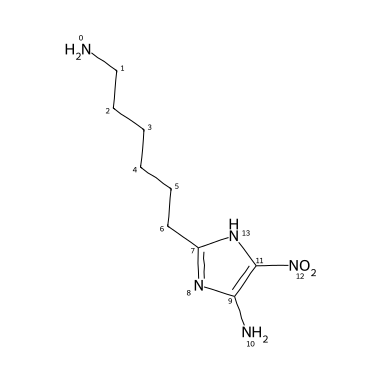 NCCCCCCc1nc(N)c([N+](=O)[O-])[nH]1